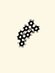 c1ccc(-c2ccc3ccc4c5ccccc5nc(-c5ccc(-c6nc(-c7ccccc7)c7ccccc7n6)cc5)c4c3n2)cc1